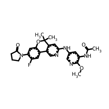 COc1ncc(Nc2cc3c(cn2)-c2cc(F)c(N4CCCC4=O)cc2OC3(C)C)cc1NC(C)=O